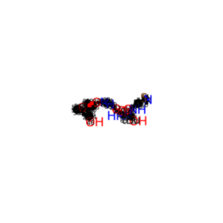 Cc1ncsc1-c1ccc(CNC(=O)[C@@H]2C[C@@H](O)CN2C(=O)[C@@H](NC(=O)COCCN2CCN(CCOc3ccc([C@@H]4c5ccc(O)cc5CC[C@@]4(Oc4ccccc4)c4ccccc4)cc3)CC2)C(C)(C)C)cc1